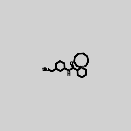 CC(C)(C)CC1CCCC(NC(=O)C2CCCC[N+]23CCCCCCCC3)C1